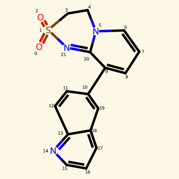 O=S1(=O)CCN2C=CC=C(c3ccc4ncccc4c3)C2=N1